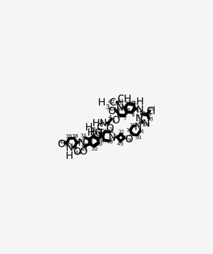 CNC(=O)COc1cc2cc(Nc3nc(N4CCC(O[C@H]5C[C@H](N6CCC(O)(c7ccc8c(c7F)CN(C7CCC(=O)NC7=O)C8=O)CC6)C5)CC4)ncc3Cl)ccc2n(C(C)C)c1=O